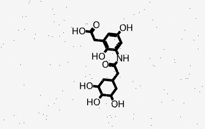 O=C(O)Cc1cc(O)cc(NC(=O)CC2CC(O)C(O)C(O)C2)c1O